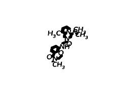 CCN1CCOc2c(NCC(=O)N(CCN(C)C)Cc3ncccc3C)cccc2C1=O